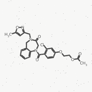 CC(=O)OCCOc1ccc(C(=O)N2CC(=O)N(Cc3cc(C)on3)Cc3ccccc32)c(Cl)c1